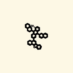 CC12CCC=CC1CCC(c1c3ccccc3c(C3C=CC4=C(C=CCC4)C3)c3cc(C4=Cc5c(oc6ccccc56)C5C=CCCC45)ccc13)C2